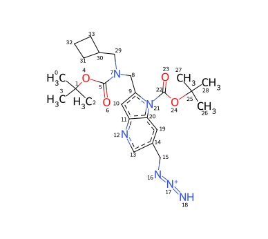 CC(C)(C)OC(=O)N(Cc1cc2ncc(CN=[N+]=N)cc2n1C(=O)OC(C)(C)C)CC1CCC1